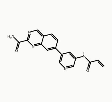 C=CC(=O)Nc1cncc(-c2ccc3cnc(C(N)=O)nc3c2)c1